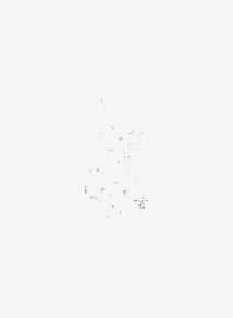 CC(C)(CO)O[C@H]1CCC2OC[C@H]3NCCCC3C(CCCN3CC34C(C)(C)C4(O)[C@H]3CC[C@@H](Cl)CC3)C2C1